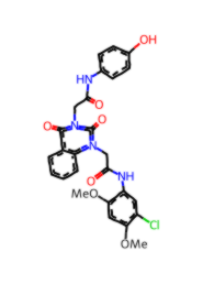 COc1cc(OC)c(NC(=O)Cn2c(=O)n(CC(=O)Nc3ccc(O)cc3)c(=O)c3ccccc32)cc1Cl